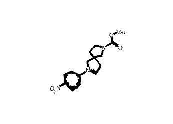 CC(C)(C)OC(=O)N1CCC2(CCN(c3ccc([N+](=O)[O-])cc3)C2)C1